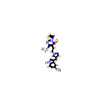 Cc1nc2sccn2c(=O)c1CCN1CCC(Cc2c[nH]c3ccc(C#N)cc23)C1